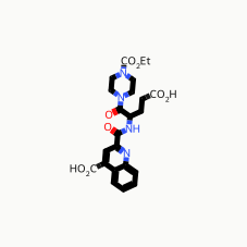 CCOC(=O)N1CCN(C(=O)C(CCC(=O)O)NC(=O)c2cc(C(=O)O)c3ccccc3n2)CC1